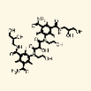 NC(=O)c1c(I)c(C(=O)NCC(O)CO)c(I)c(N(CCO)C(=O)C(O)C(=O)N(CCO)c2c(I)c(C(N)=O)c(I)c(C(=O)NCC(O)CO)c2I)c1I